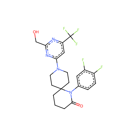 O=C1CCCC2(CCN(c3cc(C(F)(F)F)nc(CO)n3)CC2)N1c1ccc(F)c(F)c1